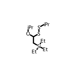 CC[Si](CC)(CC)CC(OC(C)C)SSC(C)C